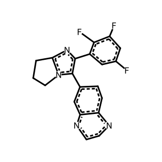 Fc1cc(F)c(F)c(-c2nc3n(c2-c2ccc4nccnc4c2)CCC3)c1